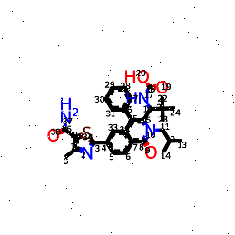 Cc1nc(-c2ccc3c(=O)n(CC(C)C)c(C(NC(=O)O)C(C)(C)C)c(-c4ccccc4)c3c2)sc1C(N)=O